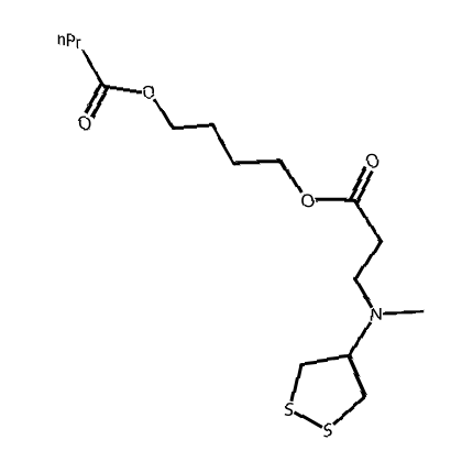 CCCC(=O)OCCCCOC(=O)CCN(C)C1CSSC1